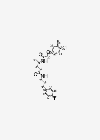 C=C(CCC(=O)NCCCc1ccc(F)cc1)NC(=O)COc1ccc(Cl)c(F)c1